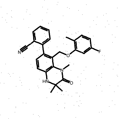 Cc1ccc(F)cc1OCc1c(-c2ccccc2C#N)ccc2c1N(C)C(=O)C(C)(C)N2